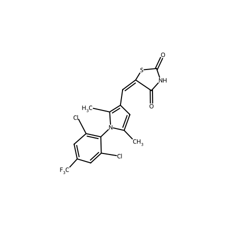 Cc1cc(C=C2SC(=O)NC2=O)c(C)n1-c1c(Cl)cc(C(F)(F)F)cc1Cl